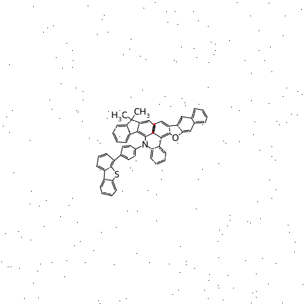 CC1(C)c2ccccc2-c2c(N(c3ccc(-c4cccc5c4sc4ccccc45)cc3)c3ccccc3-c3cccc4c3oc3cc5ccccc5cc34)cccc21